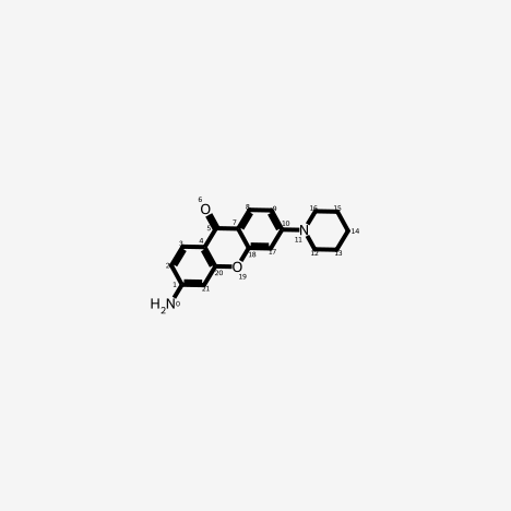 Nc1ccc2c(=O)c3ccc(N4CCCCC4)cc3oc2c1